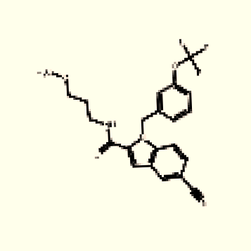 COCCCNC(=O)c1cc2cc(C#N)ccc2n1Cc1cccc(OC(F)(F)F)c1